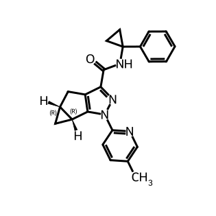 Cc1ccc(-n2nc(C(=O)NC3(c4ccccc4)CC3)c3c2[C@@H]2C[C@@H]2C3)nc1